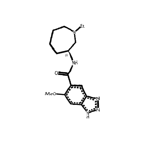 CCN1CCCC[C@H](NC(=O)c2cc3nn[nH]c3cc2OC)C1